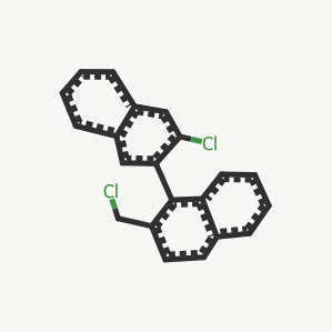 ClCc1ccc2ccccc2c1-c1cc2ccccc2cc1Cl